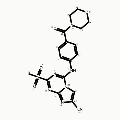 CS(=O)(=O)c1nc(Nc2ccc(C(=O)N3CCOCC3)cc2)n2cc(C#N)nc2n1